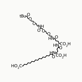 CC(C)(C)C(=O)COCCOCCNC(=O)COCCOCCNC(=O)CCC(NC(=O)CCC(NC(=O)CCCCCCCCCCCCCCCCC(=O)O)C(=O)O)C(=O)O